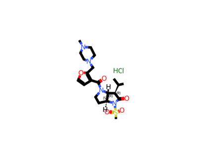 CC(C)[C@H]1C(=O)N(S(C)(=O)=O)[C@H]2CCN(C(=O)c3ccoc3CN3CCN(C)CC3)[C@H]12.Cl